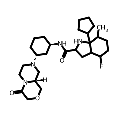 CC1CCC(F)C2CC(C(=O)N[C@@H]3CCC[C@@H](N4CCN5C(=O)COC[C@H]5C4)C3)NC12C1CCCC1